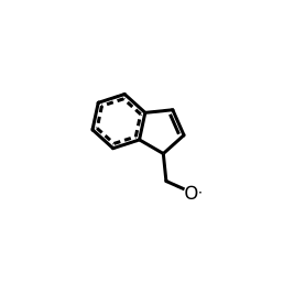 [O]CC1C=Cc2ccccc21